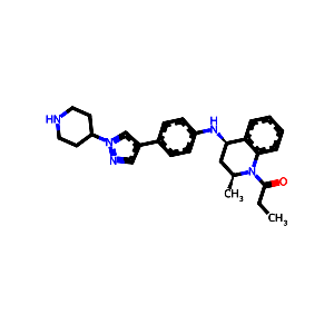 CCC(=O)N1c2ccccc2[C@H](Nc2ccc(-c3cnn(C4CCNCC4)c3)cc2)C[C@@H]1C